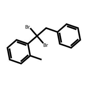 Cc1ccccc1C(Br)(Br)Cc1ccccc1